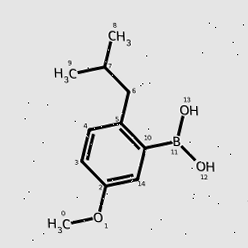 COc1ccc(CC(C)C)c(B(O)O)c1